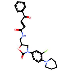 O=C(C=CC(=O)c1ccccc1)NCC1CN(c2ccc(N3CCCCC3)c(F)c2)C(=O)O1